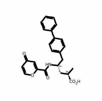 C[C@H](C[C@@H](Cc1ccc(-c2ccccc2)cc1)NC(=O)c1cc(=O)cco1)C(=O)O